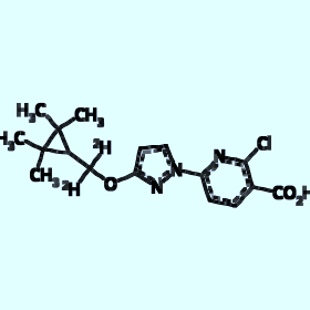 [2H]C([2H])(Oc1ccn(-c2ccc(C(=O)O)c(Cl)n2)n1)C1C(C)(C)C1(C)C